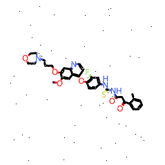 COc1cc2c(Oc3ccc(NC(=S)NC(=O)CC(=O)c4ccccc4C)cc3F)ccnc2cc1OCCCN1CCOCC1